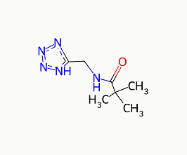 CC(C)(C)C(=O)NCc1nnn[nH]1